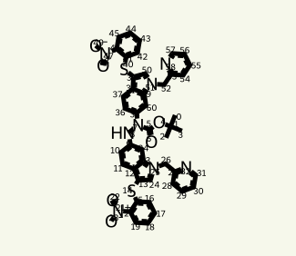 CC(C)(C)OC(=O)N(Nc1ccc2c(Sc3ccccc3[N+](=O)[O-])cn(Cc3ccccn3)c2c1)c1ccc2c(Sc3ccccc3[N+](=O)[O-])cn(Cc3ccccn3)c2c1